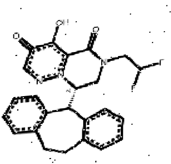 O=C1c2c(O)c(=O)cnn2[C@@H](C2c3ccccc3CCc3ccccc32)CN1CC(F)F